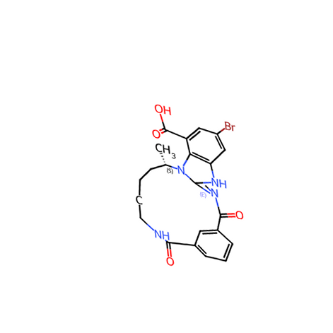 C[C@H]1CCCCNC(=O)c2cccc(c2)C(=O)/N=C2\Nc3cc(Br)cc(C(=O)O)c3N21